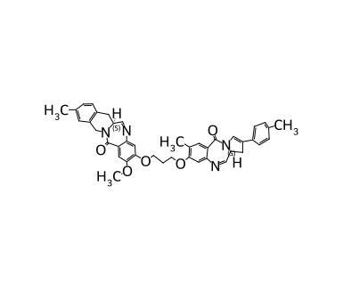 COc1cc2c(cc1OCCCOc1cc3c(cc1C)C(=O)N1C=C(c4ccc(C)cc4)C[C@H]1C=N3)N=C[C@@H]1Cc3ccc(C)cc3CN1C2=O